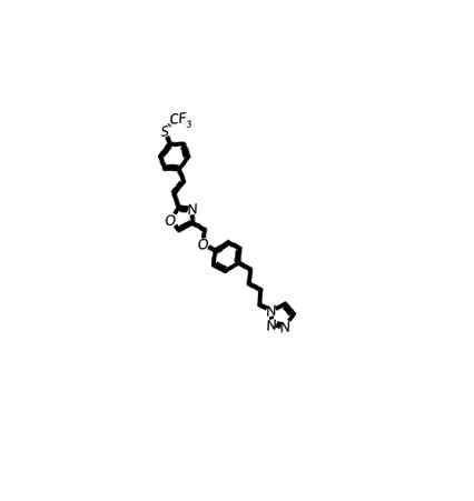 FC(F)(F)Sc1ccc(C=Cc2nc(COc3ccc(CCCCn4ccnn4)cc3)co2)cc1